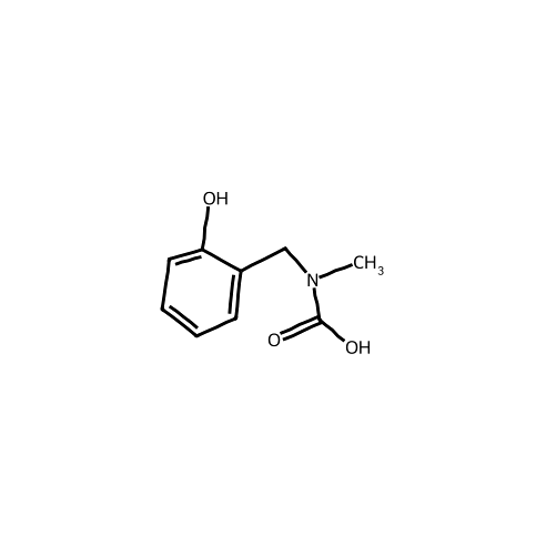 CN(Cc1ccccc1O)C(=O)O